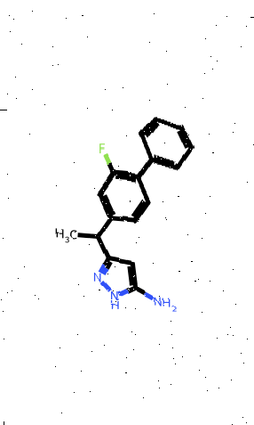 CC(c1ccc(-c2ccccc2)c(F)c1)c1cc(N)[nH]n1